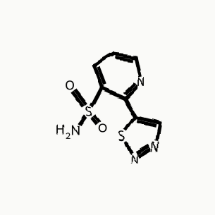 NS(=O)(=O)c1cccnc1-c1cnns1